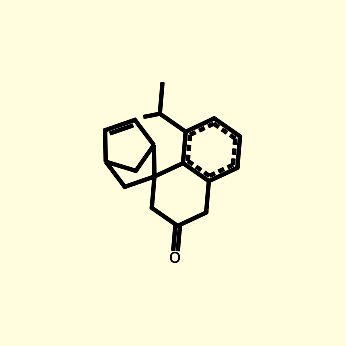 CC(C)c1cccc2c1C1(CC(=O)C2)CC2C=CC1C2